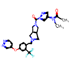 CC(=O)N(C)c1cnn(C(=O)N2CC3CN(Cc4ccc(Oc5ccnnc5)cc4C(F)(F)F)CC3C2)c1